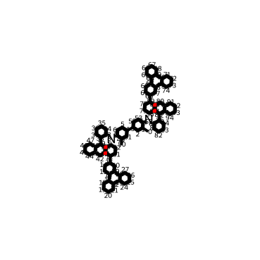 Cc1cc(-c2ccc(N(c3ccc(-c4ccc5c6ccccc6c6ccccc6c5c4)cc3)c3ccccc3-c3cccc4ccccc34)c(C)c2)ccc1N(c1ccc(-c2ccc3c4ccccc4c4ccccc4c3c2)cc1)c1ccccc1-c1cccc2ccccc12